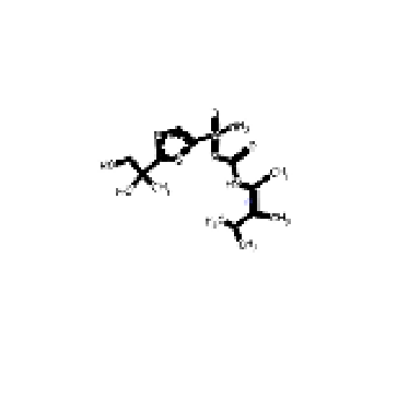 C/C(NC(=O)N=S(N)(=O)c1cnc(C(C)(O)CO)s1)=C(\C)C(C)C